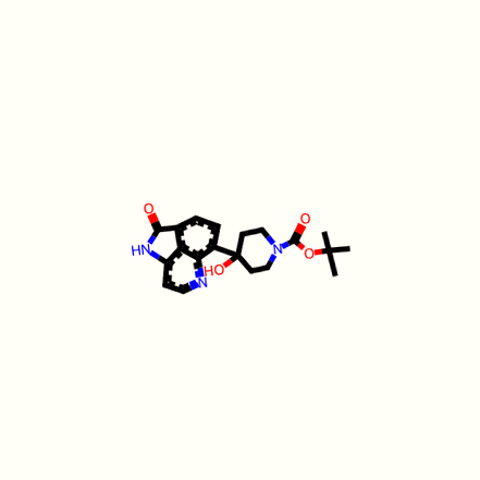 CC(C)(C)OC(=O)N1CCC(O)(c2ccc3c4c(ccnc24)NC3=O)CC1